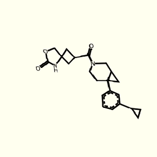 O=C1NC2(CO1)CC(C(=O)N1CCC3(c4cccc(C5CC5)c4)CC3C1)C2